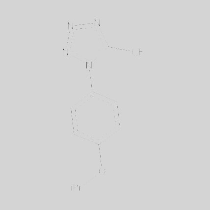 CC(C)Oc1ccc(-n2nnnc2C(F)(F)F)cc1